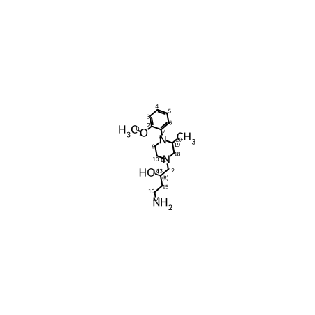 COc1ccccc1N1CCN(C[C@H](O)CCN)CC1C